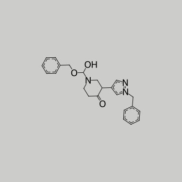 O=C1CCN(C(O)OCc2ccccc2)CC1c1cnn(Cc2ccccc2)c1